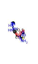 CC1(C)[C@H](NC(=O)C(=NO[C@H](COc2ccc(C(=N)NCCNc3ncccn3)cc2)C(=O)O)c2csc(N)n2)C(=O)N1OS(=O)(=O)O